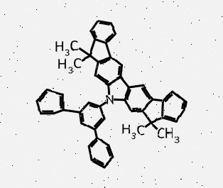 CC1(C)c2ccccc2-c2cc3c4cc5c(cc4n(-c4cc(-c6ccccc6)cc(-c6ccccc6)c4)c3cc21)C(C)(C)c1ccccc1-5